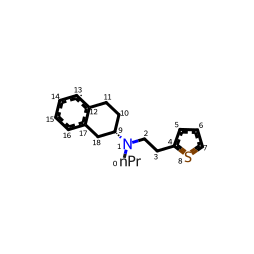 CCCN(CCc1cccs1)[C@H]1CCc2[c]cccc2C1